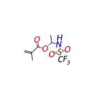 C=C(C)C(=O)OC(C)NS(=O)(=O)C(F)(F)F